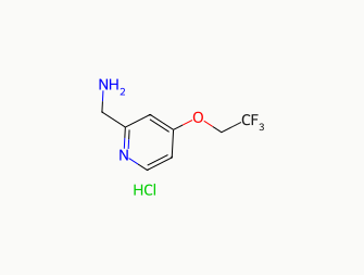 Cl.NCc1cc(OCC(F)(F)F)ccn1